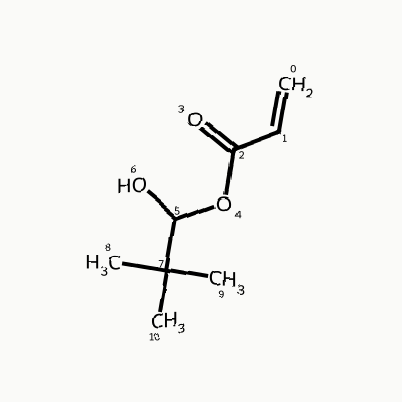 C=CC(=O)OC(O)C(C)(C)C